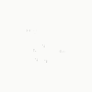 CCOC(=O)Cn1nnnc1C(C)(C)C